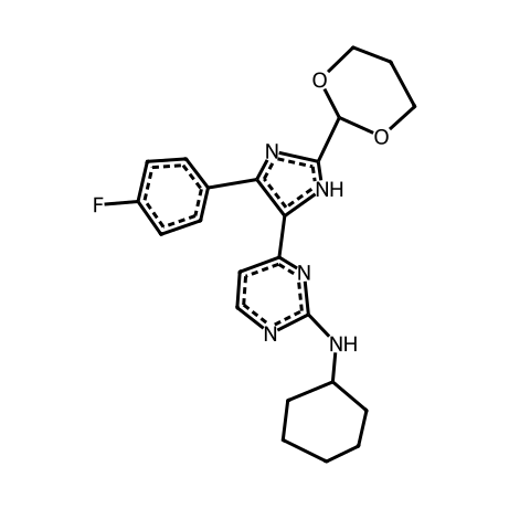 Fc1ccc(-c2nc(C3OCCCO3)[nH]c2-c2ccnc(NC3CCCCC3)n2)cc1